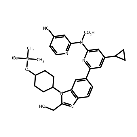 CC(C)(C)[Si](C)(C)OC1CCC(n2c(CO)nc3ccc(-c4cc(C5CC5)cc(N(C(=O)O)c5cc(C#N)ccn5)n4)cc32)CC1